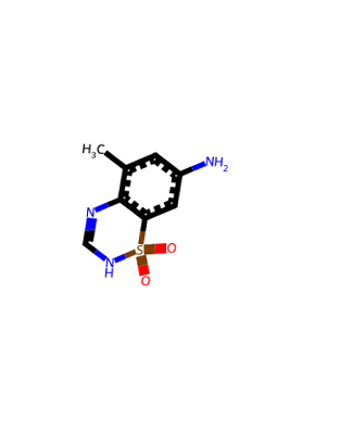 Cc1cc(N)cc2c1N=CNS2(=O)=O